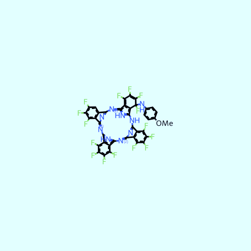 COc1ccc(NC2(F)C(F)=C(F)C(F)=c3c2c2[nH]/c3=N\C3=NC(=N\c4[nH]c(c5c(F)c(F)c(F)c(F)c45)/N=C4\N=C(N2)c2c(F)c(F)c(F)c(F)c24)/c2c3cc(F)c(F)c2F)cc1